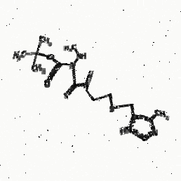 CNN(C(=O)OC(C)(C)C)C(=S)NCCSCc1[nH]cnc1C